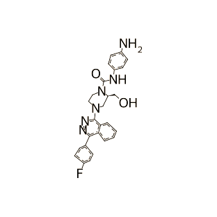 Nc1ccc(NC(=O)N2CCN(c3nnc(-c4ccc(F)cc4)c4ccccc34)C[C@@H]2CO)cc1